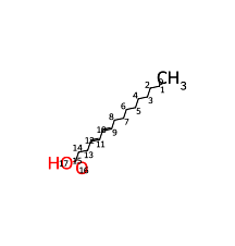 CCCCCCCCC/C=C/C=C/CCC(=O)O